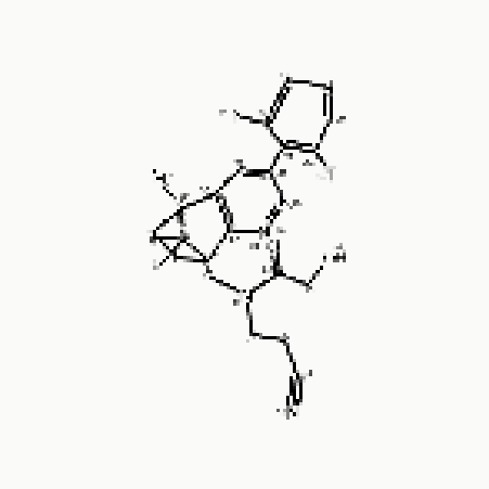 CC1(C)[C@H]2CC[C@]1(CN(CCC#N)C(=O)CO)c1nnc(-c3c(F)cccc3F)cc12